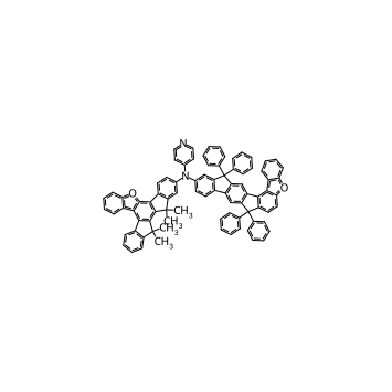 CC1(C)c2cc(N(c3ccncc3)c3ccc4c(c3)C(c3ccccc3)(c3ccccc3)c3cc5c(cc3-4)C(c3ccccc3)(c3ccccc3)c3ccc4oc6ccccc6c4c3-5)ccc2-c2c1c1c(c3c2oc2ccccc23)-c2ccccc2C1(C)C